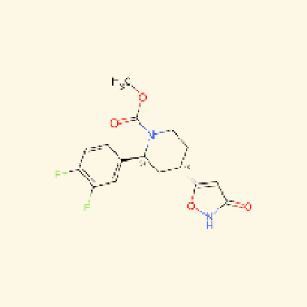 COC(=O)N1CC[C@H](c2cc(=O)[nH]o2)C[C@H]1c1ccc(F)c(F)c1